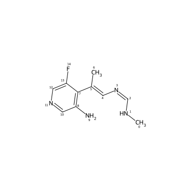 CN/C=N\C=C(/C)c1c(N)cncc1F